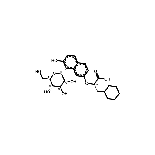 O=C(O)[C@H](CC1CCCCC1)Oc1ccc2ccc(O)c([C@H]3O[C@H](CO)[C@@H](O)[C@H](O)[C@@H]3O)c2c1